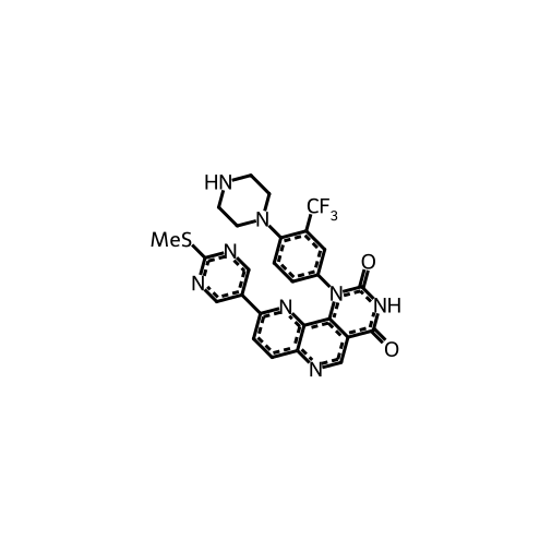 CSc1ncc(-c2ccc3ncc4c(=O)[nH]c(=O)n(-c5ccc(N6CCNCC6)c(C(F)(F)F)c5)c4c3n2)cn1